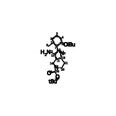 Cc1cccc(OCC(C)C)c1-n1nc2c(c1N)CN(C(=O)OC(C)(C)C)CC2